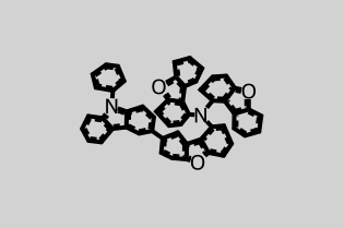 c1ccc(-n2c3ccccc3c3cc(-c4ccc5oc6cccc(N(c7cccc8oc9ccccc9c78)c7cccc8oc9ccccc9c78)c6c5c4)ccc32)cc1